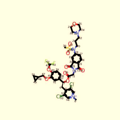 C[n+]1cc(Cl)c(C[C@H](OC(=O)CN2C(=O)c3ccc(N(CCCN4CCOCC4)S(C)(=O)=O)cc3C2=O)c2ccc(OC(F)F)c(OCC3CC3)c2)c(Cl)c1